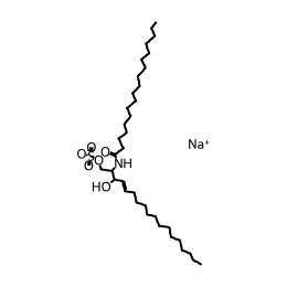 CCCCCCCCCCCCCC=CC(O)C(COS(=O)(=O)[O-])NC(=O)CCCCCCCCCCCCCCCCC.[Na+]